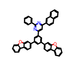 c1ccc(-c2nc(-c3cc(-c4ccc5c(c4)oc4ccccc45)cc(-c4ccc5c(c4)oc4ccccc45)c3)cc(-c3ccc4ccccc4c3)n2)cc1